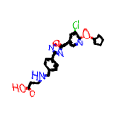 O=C(O)CCNCc1ccc(-c2noc(-c3cnc(OC4CCCC4)c(Cl)c3)n2)cc1